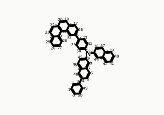 c1ccc(-c2ccc3cc(N(c4ccc(-c5ccc6ccc7ccc8ccccc8c7c6c5)cc4)c4ccc5ccccc5c4)ccc3c2)cc1